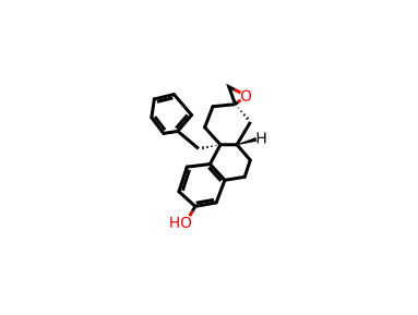 Oc1ccc2c(c1)CC[C@H]1C[C@]3(CC[C@]21Cc1ccccc1)CO3